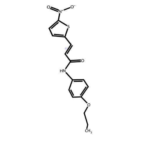 CCCOc1ccc(NC(=O)/C=C/c2ccc([N+](=O)[O-])s2)cc1